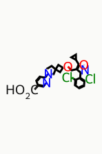 O=C(O)c1ccc(N2CCC3(CC(OCc4c(-c5c(Cl)cccc5Cl)noc4C4CC4)C3)C2)nc1